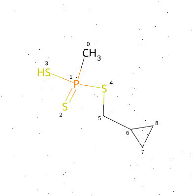 CP(=S)(S)SCC1CC1